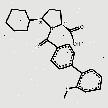 COc1ccccc1-c1ccc(C(=O)N2[C@@H](C3CCCCC3)CC[C@H]2C(=O)O)cc1